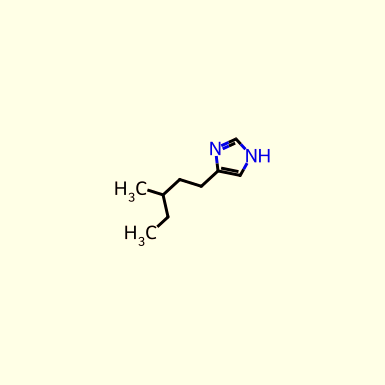 CCC(C)CCc1c[nH]cn1